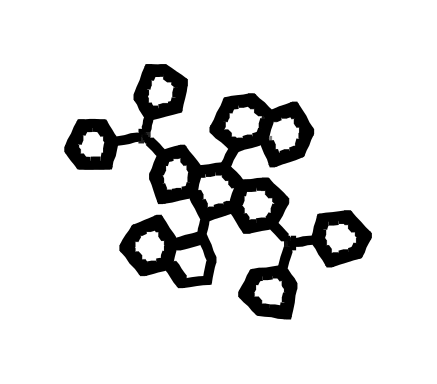 C1=c2ccccc2=C(c2c3cc(N(c4ccccc4)c4ccccc4)ccc3c(-c3cccc4ccccc34)c3cc(N(c4ccccc4)c4ccccc4)ccc23)CC1